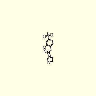 CS(=O)(=O)c1ccc2c(c1)N=NN(n1ccnc1)C2